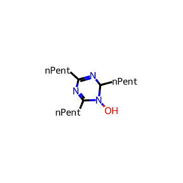 CCCCCC1=NC(CCCCC)N(O)C(CCCCC)=N1